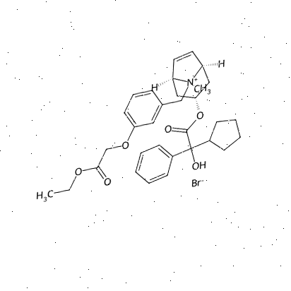 CCOC(=O)COc1cccc(C[N+]2(C)[C@@H]3C=C[C@H]2C[C@H](OC(=O)C(O)(c2ccccc2)C2CCCC2)C3)c1.[Br-]